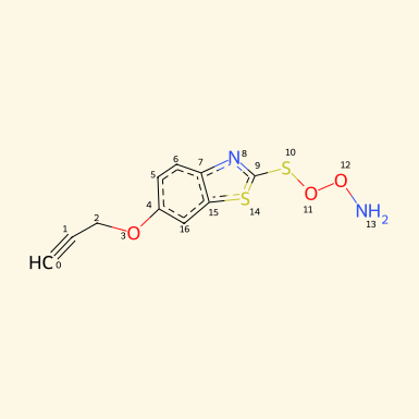 C#CCOc1ccc2nc(SOON)sc2c1